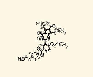 CCCOc1ccc(S(=O)(=O)N2CCN(CCO)CC2)cc1-c1nc2c(CCC)c(C(C)=O)n(CC)c2c(=O)[nH]1